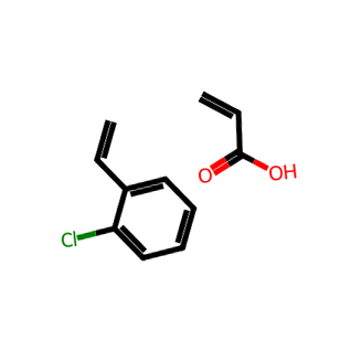 C=CC(=O)O.C=Cc1ccccc1Cl